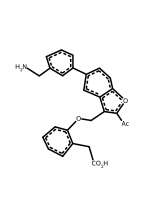 CC(=O)c1oc2ccc(-c3cccc(CN)c3)cc2c1COc1ccccc1CC(=O)O